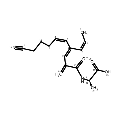 C=C(/C=C(\C=C/C)/C=C\CCCC#N)C(=O)N[C@H](C)C(=O)O